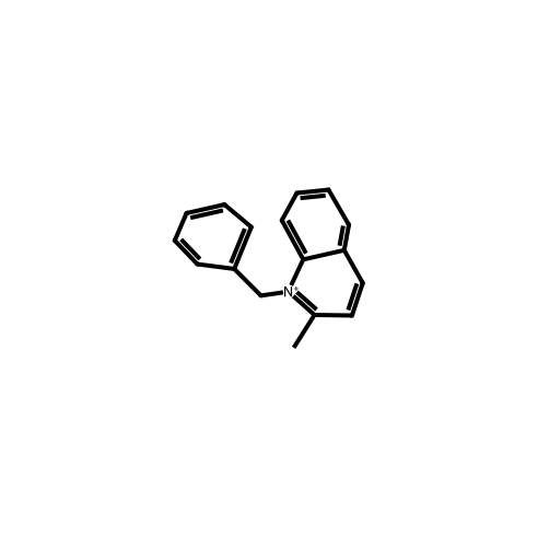 Cc1ccc2ccccc2[n+]1Cc1ccccc1